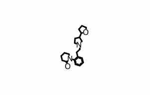 O=C1CCCCN1c1ccccc1CCN1CCC(C2CCCO2)C1